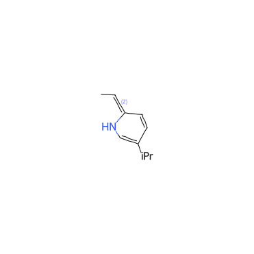 C/C=C1/C=CC(C(C)C)=CN1